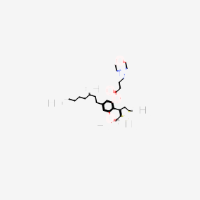 CCCCCC(C)CCc1cc(OC(=O)CCCN2CCOCC2)c2c(c1)OC(C)(C)C1=C2CC(C)S1